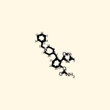 Cc1noc(-c2c(CC3CCN(Cc4ccccc4)CC3)cccc2OC(N)=O)n1